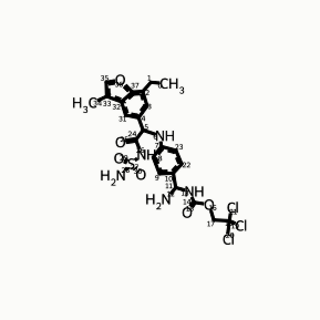 CCc1cc(C(Nc2ccc(C(N)NC(=O)OCC(Cl)(Cl)Cl)cc2)C(=O)NS(N)(=O)=O)cc2c(C)coc12